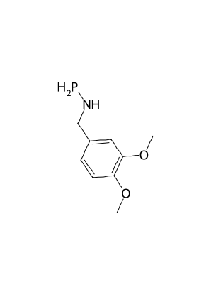 COc1ccc(CNP)cc1OC